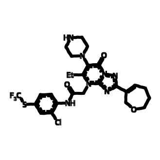 CCc1c(N2CCNCC2)c(=O)n2nc(C3=CCCCOC3)nc2n1CC(=O)Nc1ccc(SC(F)(F)F)cc1Cl